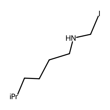 CC(C)CCCCNCI